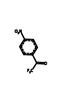 O=C(c1ccc([N+](=O)[O-])cc1)C(F)(F)F